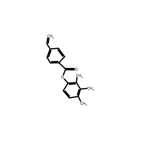 C=Cc1ccc(C(=O)Oc2ccc(C)c(C)c2C)cc1